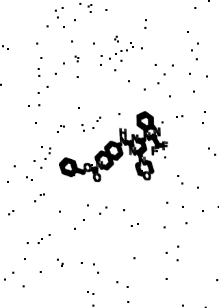 O=C(OCc1ccccc1)N1CCC2(CCC(Nc3nc(N4CCOCC4)cc(-n4c(C(F)F)nc5ccccc54)n3)CC2)CC1